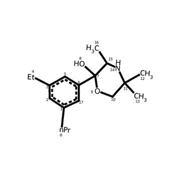 CCCc1cc(CC)cc(C2(O)OCC(C)(C)NC2C)c1